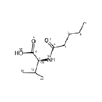 CCCCC(=O)N[C@H](C(=O)O)C(C)C